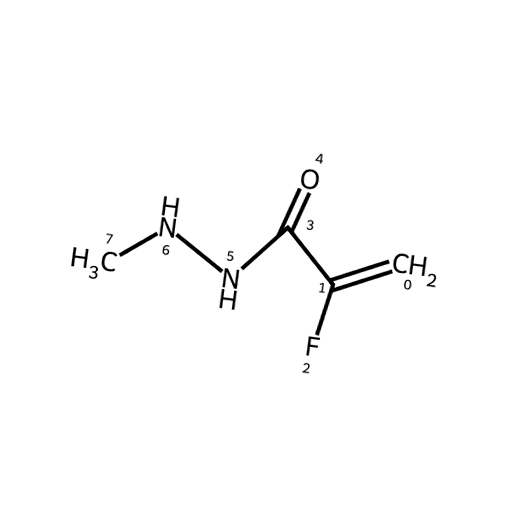 C=C(F)C(=O)NNC